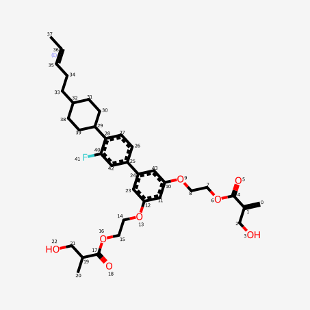 C=C(CO)C(=O)OCCOc1cc(OCCOC(=O)C(C)CO)cc(-c2ccc(C3CCC(CC/C=C/C)CC3)c(F)c2)c1